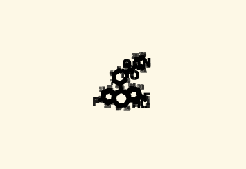 Cl.O=S(=O)(N1CCCC(C2c3ccc(F)cc3CCc3cc(F)ccc32)C1)n1ccnc1